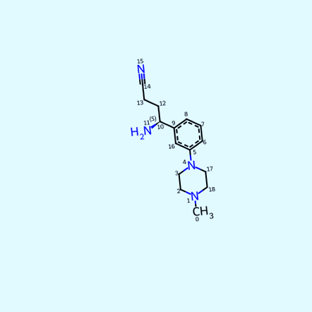 CN1CCN(c2cccc([C@@H](N)CCC#N)c2)CC1